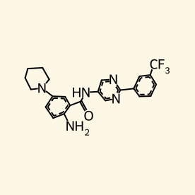 Nc1ccc(N2CCCCC2)cc1C(=O)Nc1cnc(-c2cccc(C(F)(F)F)c2)nc1